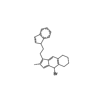 CC1=C(CCC2C=Cc3ccccc32)C2=CC3=C(CCCC3)C(Br)C2=C1